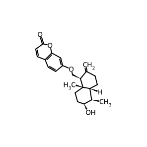 C=C1CC[C@@H]2[C@@H](C)[C@@H](O)CC[C@]2(C)[C@H]1COc1ccc2ccc(=O)oc2c1